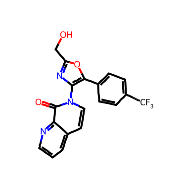 O=c1c2ncccc2ccn1-c1nc(CO)oc1-c1ccc(C(F)(F)F)cc1